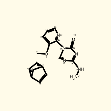 C1=CC2=CC=C1C2.COc1cccnc1-n1cnc(NN)nc1=O